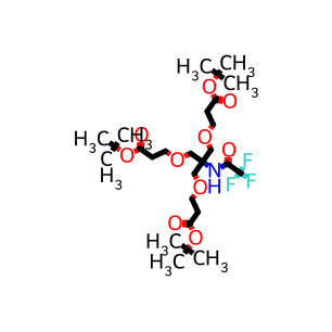 CC(C)(C)OC(=O)CCOCC(COCCC(=O)OC(C)(C)C)(COCCC(=O)OC(C)(C)C)NC(=O)C(F)(F)F